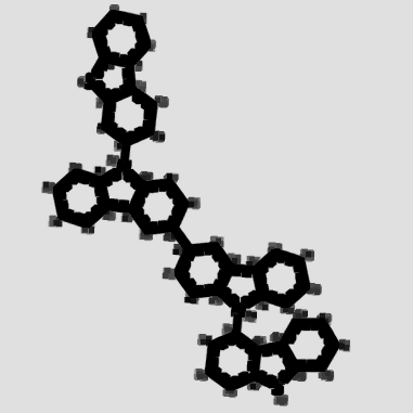 c1ccc2c(c1)sc1cc(-n3c4ccccc4c4cc(-c5ccc6c(c5)c5ccccc5n6-c5cccc6sc7ccccc7c56)ccc43)ccc12